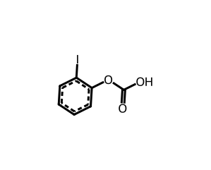 O=C(O)Oc1ccccc1I